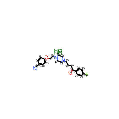 Cl.Cl.N#Cc1ccc(OCCN2CCN(CCCC(=O)c3ccc(F)cc3)CC2)cc1